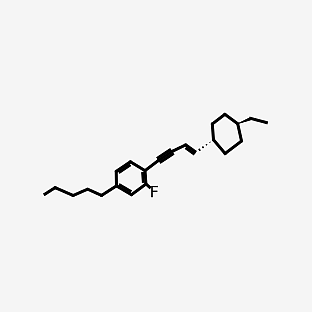 CCCCCc1ccc(C#CC=C[C@H]2CC[C@H](CC)CC2)c(F)c1